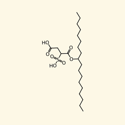 CCCCCCCCCC(CCCCCCCC)OC(=O)C(CC(=O)O)S(=O)(=O)O